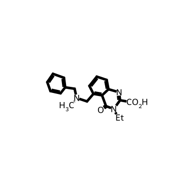 CCn1c(C(=O)O)nc2cccc(CN(C)Cc3ccccc3)c2c1=O